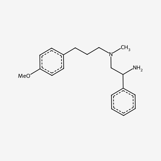 COc1ccc(CCCN(C)CC(N)c2ccccc2)cc1